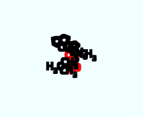 C[C@H](CCC(=O)OC(=O)C(C)(C)C)C1CCC2C3CCC4CCCCC4(C)C3C[C@H](O)C21C